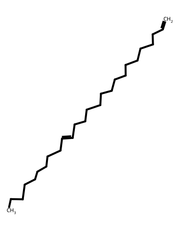 C=CCCCCCCCCCCCCCC=CCCCCCCCCC